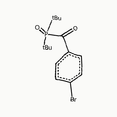 CC(C)(C)P(=O)(C(=O)c1ccc(Br)cc1)C(C)(C)C